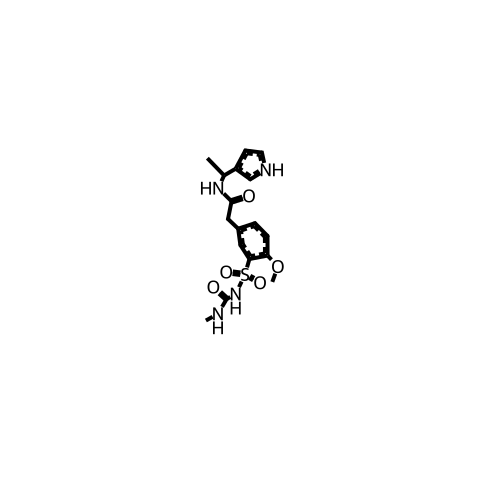 CNC(=O)NS(=O)(=O)c1cc(CC(=O)NC(C)c2cc[nH]c2)ccc1OC